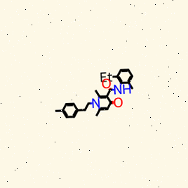 CCc1cccc(C)c1NC(=O)c1c(C)n(CCc2ccc(C)cc2)c(C)cc1=O